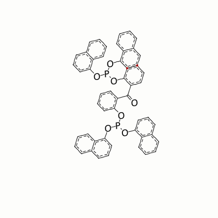 O=C(c1ccccc1OP(Oc1cccc2ccccc12)Oc1cccc2ccccc12)c1ccccc1OP(Oc1cccc2ccccc12)Oc1cccc2ccccc12